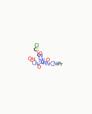 CC(C)N1CCC(NC(=O)c2cc(C(=O)N3CCC(CO)CC3)n(Cc3cc(-c4ccc(Cl)s4)on3)n2)CC1